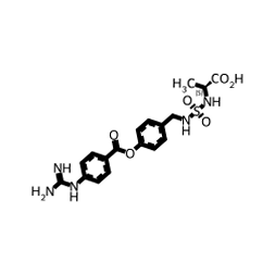 C[C@H](NS(=O)(=O)NCc1ccc(OC(=O)c2ccc(NC(=N)N)cc2)cc1)C(=O)O